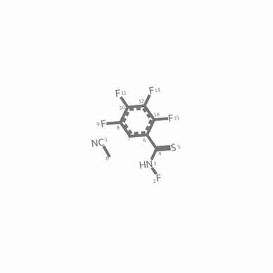 CC#N.FNC(=S)c1cc(F)c(F)c(F)c1F